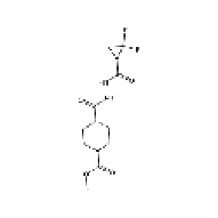 COC(=O)C1CCC(C(=O)NNC(=O)C2CC2(F)F)CC1